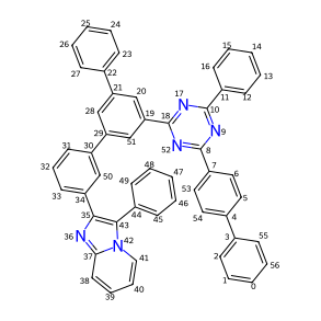 c1ccc(-c2ccc(-c3nc(-c4ccccc4)nc(-c4cc(-c5ccccc5)cc(-c5cccc(-c6nc7ccccn7c6-c6ccccc6)c5)c4)n3)cc2)cc1